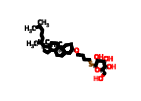 CC(C)CCC[C@@H](C)[C@H]1CCC2C3CC=C4C[C@@H](OCCCCS[C@@H]5O[C@H](CO)[C@@H](O)[C@H](O)[C@@H]5O)CC[C@]4(C)C3CC[C@@]21C